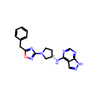 c1ccc(Cc2nc(N3CC[C@H](Nc4ncnc5[nH]ncc45)C3)no2)cc1